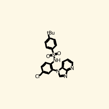 CC(C)(C)c1ccc(S(=O)(=O)Nc2ccc(Cl)cc2-n2cnc3ncccc32)cc1